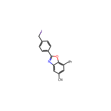 CC(C)c1cc(C#N)cc2nc(-c3ccc(CI)cc3)oc12